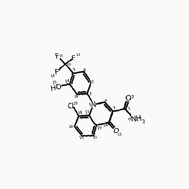 NC(=O)c1cn(-c2ccc(C(F)(F)F)c(O)c2)c2c(Cl)cccc2c1=O